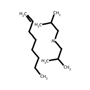 C=CCCCCCC.CC(C)[CH2][Al][CH2]C(C)C